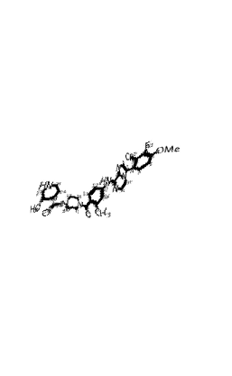 COc1ccc(-c2cnc3c(Nc4ccc(C(=O)N5CCN(C(=O)[C@H]6CCNC[C@@H]6O)CC5)c(C)c4)nccn23)c(Cl)c1F